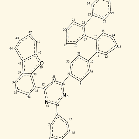 c1ccc(-c2nc(-c3ccc(-c4ccccc4-c4ccccc4-c4ccccc4)cc3)nc(-c3cccc4c3oc3ccccc34)n2)cc1